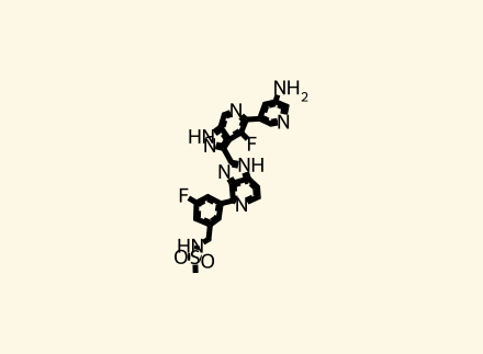 CS(=O)(=O)NCc1cc(F)cc(-c2nccc3[nH]c(-c4n[nH]c5cnc(-c6cncc(N)c6)c(F)c45)nc23)c1